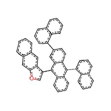 c1ccc2cc3c(-c4c5ccccc5c(-c5cccc6ccccc56)c5ccc(-c6cccc7ccccc67)cc45)coc3cc2c1